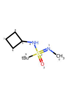 CN=S(=O)(NC1CCC1)C(C)(C)C